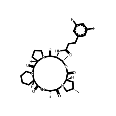 C[C@H]1C[C@H]2C(=O)O[C@@H](C)[C@H](NC(=O)CCc3cc(F)cc(F)c3)C(=O)N3CCC[C@H]3C(=O)N3CCCC[C@H]3C(=O)N[C@@H](C)C(=O)N2C1